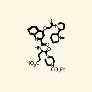 CCOC(=O)N1CCN(C(=O)C(CCC(=O)O)NC(=O)c2cc(OCC(=O)N3CCCC3C3CCCCN3C)c3ccccc3n2)CC1